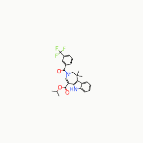 CC(C)OC(=O)C1=CN(C(=O)c2cccc(C(F)(F)F)c2)CC(C)(C)c2c1[nH]c1ccccc21